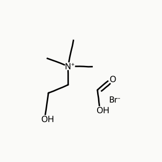 C[N+](C)(C)CCO.O=CO.[Br-]